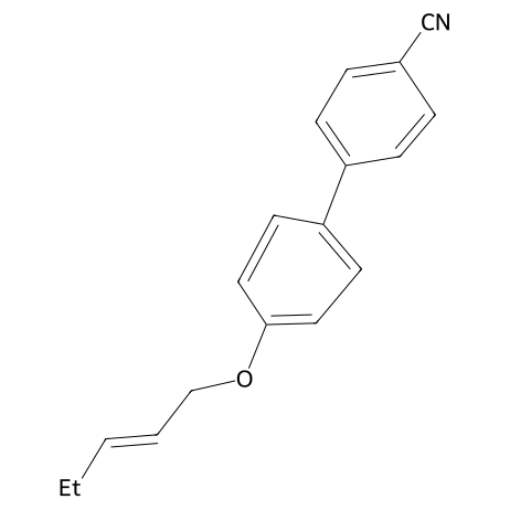 CCC=CCOc1ccc(-c2ccc(C#N)cc2)cc1